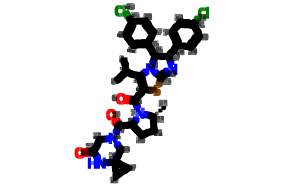 CC(C)C1=C(C(=O)N2C(C(=O)N3CC(=O)NC4(CC4)C3)CC[C@H]2C)SC2=NC(c3ccc(Cl)cc3)C(c3ccc(Cl)cc3)N21